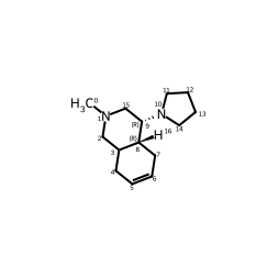 CN1CC2CC=CC[C@H]2[C@@H](N2CCCC2)C1